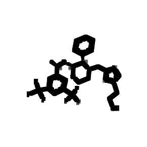 C[C@@H](O[C@H]1OCCN(Cc2ncn(CCO)n2)[C@H]1c1ccccc1)c1cc(C(F)(F)F)cc(C(F)(F)F)c1